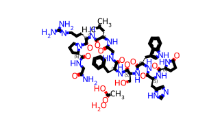 CC(=O)O.CC(C)C[C@H](NC(=O)CNC(=O)[C@H](Cc1ccccc1)NC(=O)[C@H](CO)NC(=O)[C@H](Cc1c[nH]c2ccccc12)NC(=O)[C@H](Cc1cnc[nH]1)NC(=O)[C@@H]1CCC(=O)N1)C(=O)N[C@@H](CCCN=C(N)N)C(=O)N1CCC[C@H]1C(=O)NCC(N)=O.O